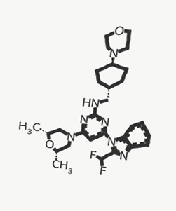 C[C@@H]1CN(c2cc(-n3c(C(F)F)nc4ccccc43)nc(NC[C@H]3CC[C@H](N4CCOCC4)CC3)n2)C[C@H](C)O1